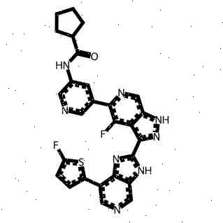 O=C(Nc1cncc(-c2ncc3[nH]nc(-c4nc5c(-c6ccc(F)s6)cncc5[nH]4)c3c2F)c1)C1CCCC1